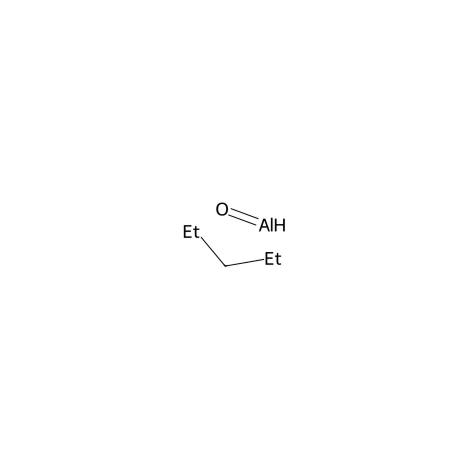 CCCCC.[O]=[AlH]